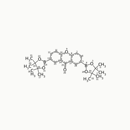 CC1(C)OB(c2ccc3oc4ccc(B5OC(C)(C)C(C)(C)O5)cc4c(=O)c3c2)OC1(C)C